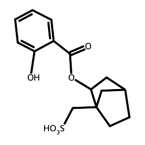 O=C(OC1CC2CCC1(CS(=O)(=O)O)C2)c1ccccc1O